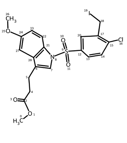 COC(=O)CCc1cn(S(=O)(=O)c2ccc(Cl)c(CI)c2)c2ccc(OC)cc12